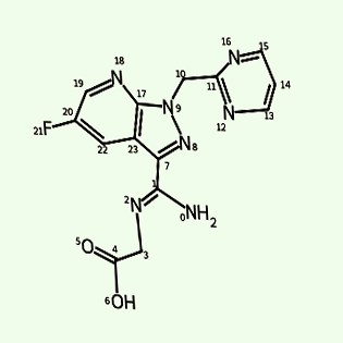 NC(=NCC(=O)O)c1nn(Cc2ncccn2)c2ncc(F)cc12